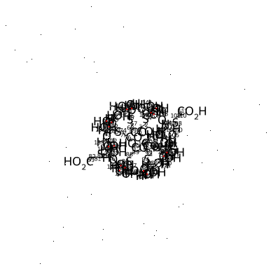 O=C(O)CCSC[C@H]1O[C@@H]2O[C@H]3[C@H](O)[C@@H](O)[C@@H](O[C@H]4[C@H](O)[C@@H](O)[C@@H](O[C@H]5[C@H](O)[C@@H](O)[C@@H](O[C@H]6[C@H](O)[C@@H](O)[C@@H](O[C@H]7[C@H](O)[C@@H](O)[C@@H](O[C@H]8[C@H](O)[C@@H](O)[C@@H](O[C@H]9[C@H](O)C(O)[C@@H](O[C@H]1[C@H](O)[C@H]2O)O[C@@H]9CSCCC(=O)O)O[C@@H]8CSCCC(=O)O)O[C@@H]7CSCCC(=O)O)O[C@@H]6CSCCC(=O)O)O[C@@H]5CSCCC(=O)O)O[C@@H]4CSCCC(=O)O)O[C@@H]3CSCCC(=O)O